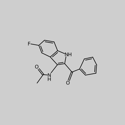 CC(=O)Nc1c(C(=O)c2ccccc2)[nH]c2ccc(F)cc12